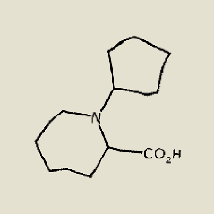 O=C(O)C1CCCCN1C1CCCC1